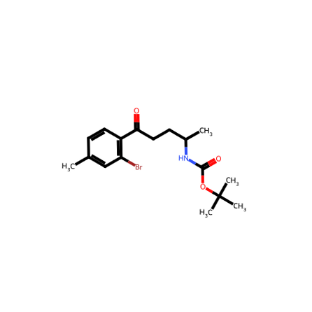 Cc1ccc(C(=O)CCC(C)NC(=O)OC(C)(C)C)c(Br)c1